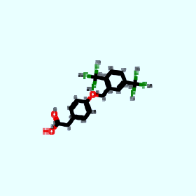 O=C(O)Cc1ccc(OCc2cc(C(F)(F)F)ccc2C(F)(F)F)cc1